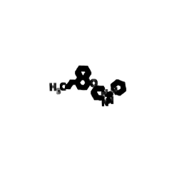 CCCC1CCC(Oc2ccc3nnc(N4CCCCC4)n3c2)c2ccccc21